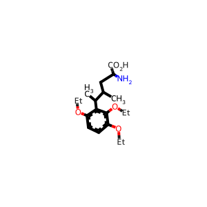 CCOc1ccc(OCC)c(C(C)C(C)CC(N)C(=O)O)c1OCC